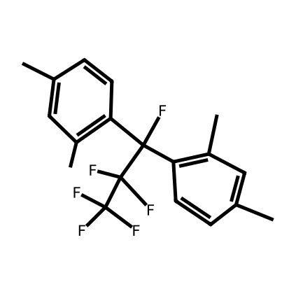 Cc1ccc(C(F)(c2ccc(C)cc2C)C(F)(F)C(F)(F)F)c(C)c1